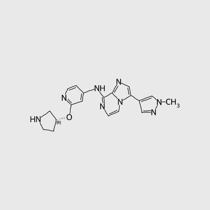 Cn1cc(-c2cnc3c(Nc4ccnc(O[C@@H]5CCNC5)c4)nccn23)cn1